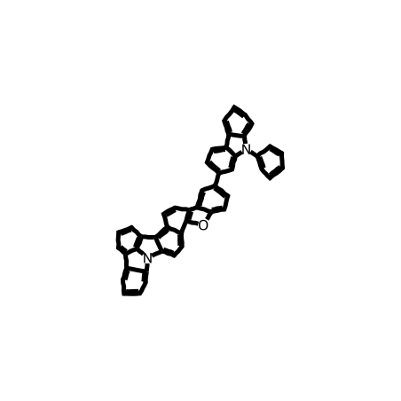 c1ccc(-n2c3ccccc3c3ccc(-c4ccc5oc6c(ccc7c6ccc6c7c7cccc8c9ccccc9n6c87)c5c4)cc32)cc1